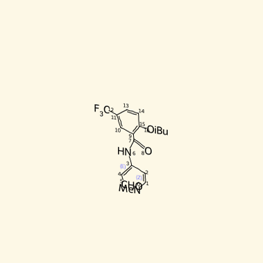 CN/C=C\C(=C/C=O)NC(=O)c1cc(C(F)(F)F)ccc1OCC(C)C